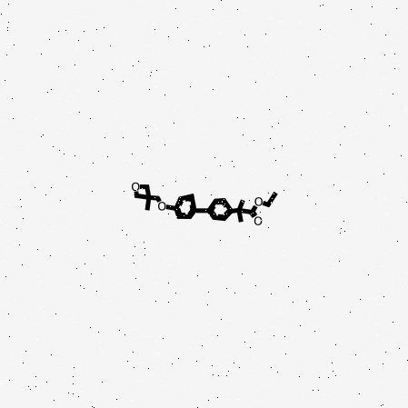 CCOC(=O)C(C)(C)c1ccc(-c2ccc(OCC3(C)COC3)cc2)cc1